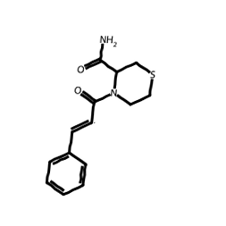 NC(=O)C1CSCCN1C(=O)/[C]=C/c1ccccc1